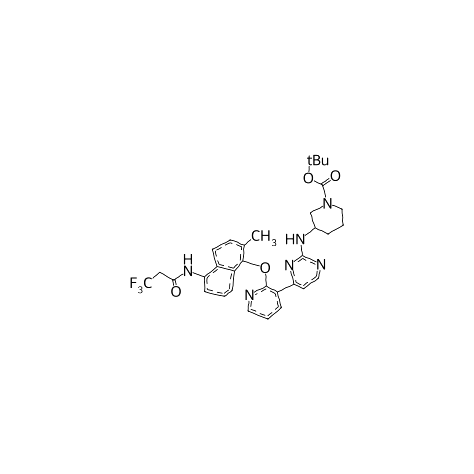 Cc1ccc2c(NC(=O)CC(F)(F)F)cccc2c1Oc1ncccc1-c1ccnc(NC2CCCN(C(=O)OC(C)(C)C)C2)n1